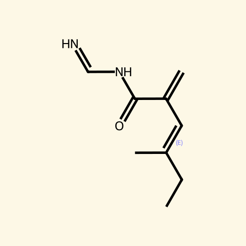 C=C(/C=C(\C)CC)C(=O)NC=N